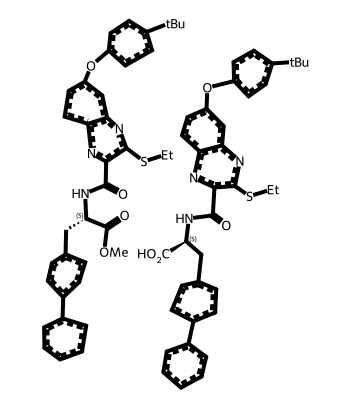 CCSc1nc2cc(Oc3ccc(C(C)(C)C)cc3)ccc2nc1C(=O)N[C@@H](Cc1ccc(-c2ccccc2)cc1)C(=O)O.CCSc1nc2cc(Oc3ccc(C(C)(C)C)cc3)ccc2nc1C(=O)N[C@@H](Cc1ccc(-c2ccccc2)cc1)C(=O)OC